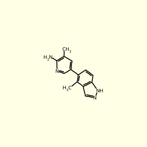 Cc1cc(-c2ccc3[nH]ncc3c2C)cnc1N